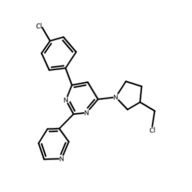 ClCC1CCN(c2cc(-c3ccc(Cl)cc3)nc(-c3cccnc3)n2)C1